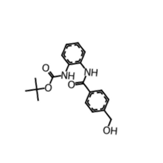 CC(C)(C)OC(=O)Nc1ccccc1NC(=O)c1ccc(CO)cc1